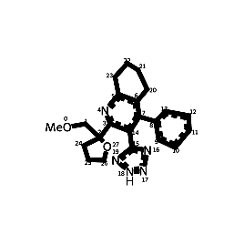 COCC1(c2nc3c(c(-c4ccccc4)c2-c2nn[nH]n2)CCCC3)CCCO1